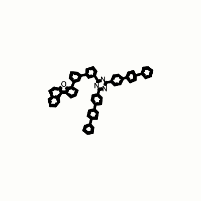 c1ccc(-c2ccc(-c3ccc(-c4nc(-c5ccc(-c6ccc(-c7ccccc7)cc6)cc5)nc(-c5cccc(-c6cccc(-c7cccc8c7oc7ccc9ccccc9c78)c6)c5)n4)cc3)cc2)cc1